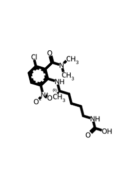 C[C@H](CCCCNC(=O)O)Nc1c([N+](=O)[O-])ccc(Cl)c1C(=O)N(C)C